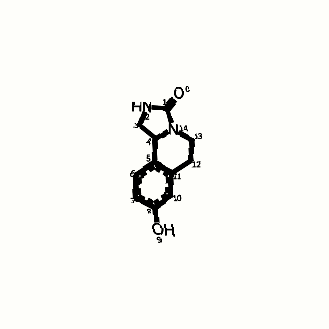 O=C1NCC2c3ccc(O)cc3CCN12